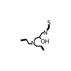 C=CCN(CC=C)CC(O)CN=C=S